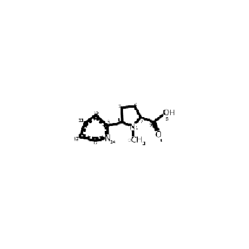 CN1C(C(=O)O)CCC1c1ccccn1